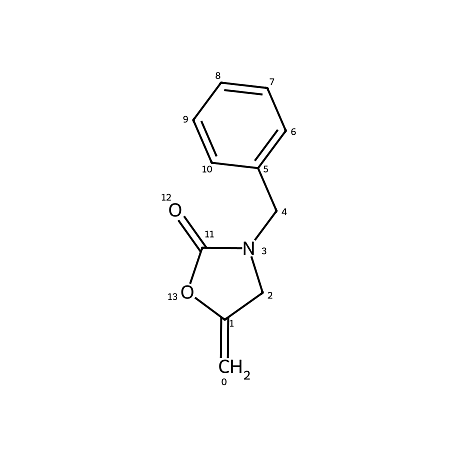 C=C1CN(Cc2ccccc2)C(=O)O1